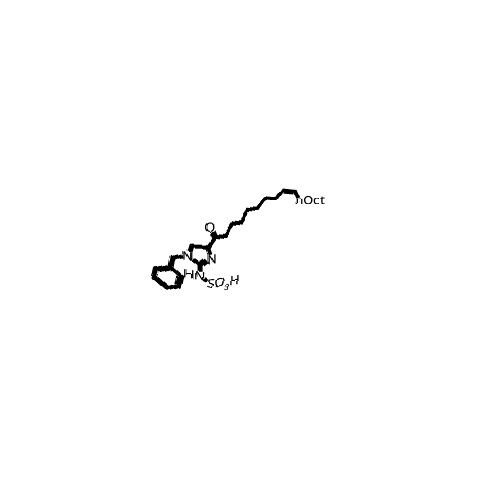 CCCCCCCC/C=C\CCCCCCCC(=O)C1CN(Cc2ccccc2)C(NS(=O)(=O)O)=N1